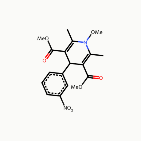 COC(=O)C1=C(C)N(OC)C(C)=C(C(=O)OC)C1c1cccc([N+](=O)[O-])c1